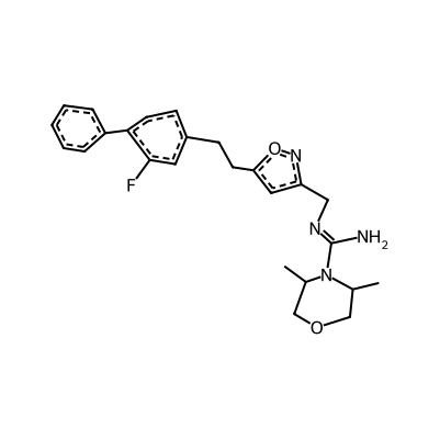 CC1COCC(C)N1C(N)=NCc1cc(CCc2ccc(-c3ccccc3)c(F)c2)on1